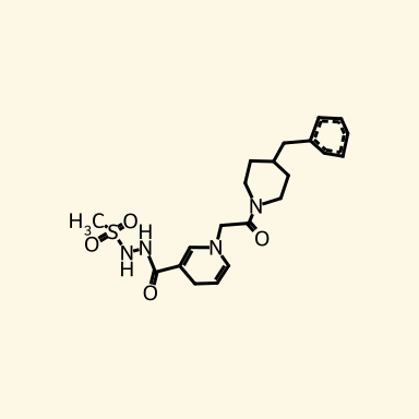 CS(=O)(=O)NNC(=O)C1=CN(CC(=O)N2CCC(Cc3ccccc3)CC2)C=CC1